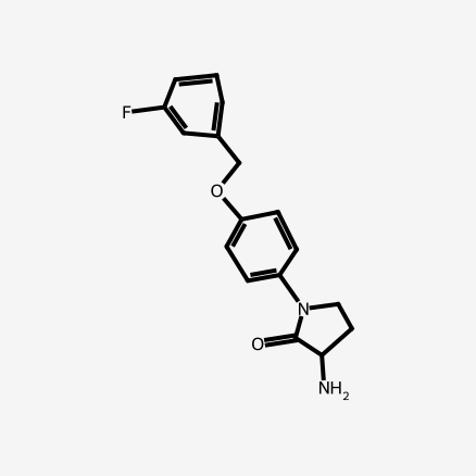 NC1CCN(c2ccc(OCc3cccc(F)c3)cc2)C1=O